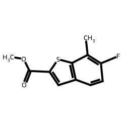 COC(=O)c1cc2ccc(F)c(C)c2s1